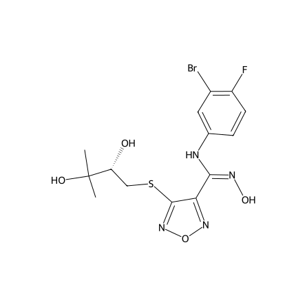 CC(C)(O)[C@H](O)CSc1nonc1/C(=N\O)Nc1ccc(F)c(Br)c1